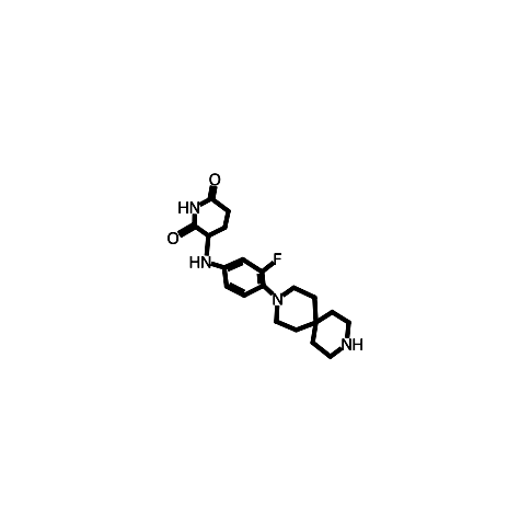 O=C1CCC(Nc2ccc(N3CCC4(CCNCC4)CC3)c(F)c2)C(=O)N1